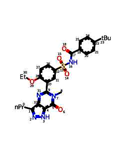 CCCc1n[nH]c2c(=O)n(C)c(-c3cc(S(=O)(=O)NC(=O)c4ccc(C(C)(C)C)cc4)ccc3OCC)nc12